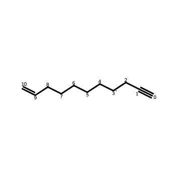 C#CC[CH]CCCCCC=C